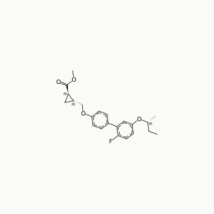 CC[C@@H](C)Oc1ccc(F)c(-c2ccc(OC[C@@H]3C[C@H]3C(=O)OC)cc2)c1